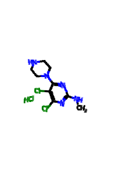 CNc1nc(Cl)c(Cl)c(N2CCNCC2)n1.Cl